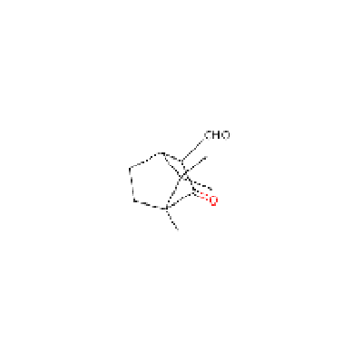 CC12CCC(C([C]=O)C1=O)C2(C)C